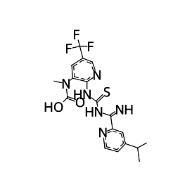 CC(C)c1ccnc(C(=N)NC(=S)Nc2ncc(C(F)(F)F)cc2N(C)C(=O)O)c1